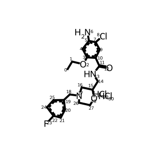 CCOc1cc(N)c(Cl)cc1C(=O)NCC1CN(Cc2ccc(F)cc2)CCO1.Cl.Cl